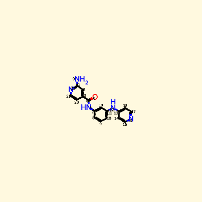 Nc1cc(C(=O)Nc2cccc(Nc3ccncc3)c2)ccn1